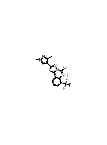 Cc1nn(C)cc1-c1nc2c3cccc(C(F)(F)F)c3[nH]c(=O)n2n1